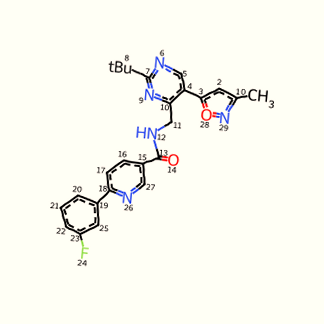 Cc1cc(-c2cnc(C(C)(C)C)nc2CNC(=O)c2ccc(-c3cccc(F)c3)nc2)on1